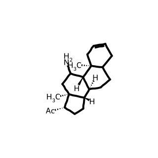 CC(=O)[C@H]1CC[C@H]2[C@@H]3CCC4CC=CC[C@]4(C)[C@H]3C(N)C[C@]12C